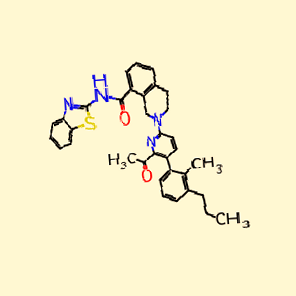 CCCc1cccc(-c2ccc(N3CCc4cccc(C(=O)Nc5nc6ccccc6s5)c4C3)nc2C(C)=O)c1C